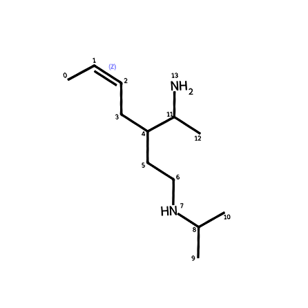 C/C=C\CC(CCNC(C)C)C(C)N